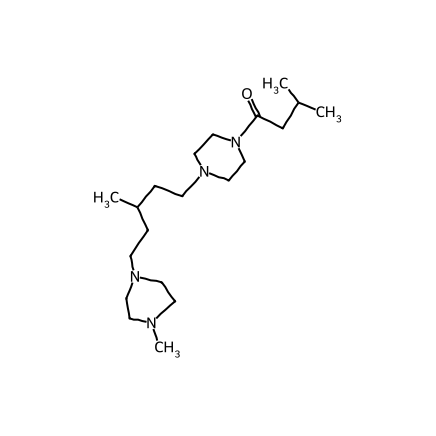 CC(C)CC(=O)N1CCN(CCC(C)CCN2CCN(C)CC2)CC1